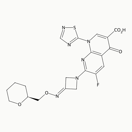 O=C(O)c1cn(-c2ncns2)c2nc(N3CC(=NOC[C@@H]4CCCCO4)C3)c(F)cc2c1=O